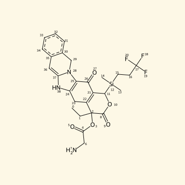 CCC1(OC(=O)CN)C(=O)OC([Si](C)(C)CCC(F)(F)F)C2=C1CC1=C(C2=O)N2Cc3ccccc3C=C2N1